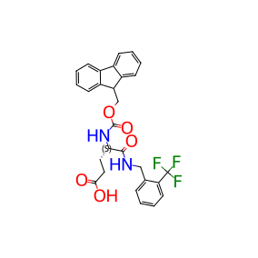 O=C(O)CC[C@H](NC(=O)OCC1c2ccccc2-c2ccccc21)C(=O)NCc1ccccc1C(F)(F)F